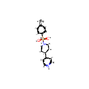 CC(C)(C)c1ccc(S(=O)(=O)N2CCC(c3ccncc3)CC2)cc1